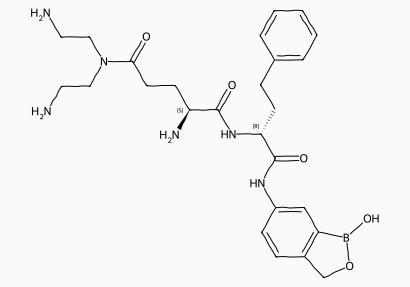 NCCN(CCN)C(=O)CC[C@H](N)C(=O)N[C@H](CCc1ccccc1)C(=O)Nc1ccc2c(c1)B(O)OC2